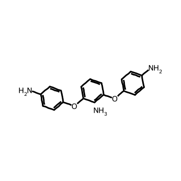 N.Nc1ccc(Oc2cccc(Oc3ccc(N)cc3)c2)cc1